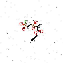 C#CCOC(=O)C(C)S(=O)(=O)CCS(=O)(=O)F